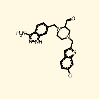 Nc1n[nH]c2cc(CN3CCN(Cc4cc5ccc(Cl)cc5s4)CC3C=O)ccc12